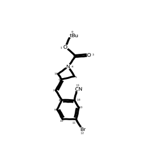 CC(C)(C)OC(=O)N1CC(=Cc2ccc(Br)cc2C#N)C1